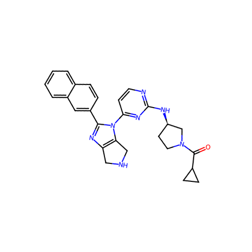 O=C(C1CC1)N1CC[C@@H](Nc2nccc(-n3c(-c4ccc5ccccc5c4)nc4c3CNC4)n2)C1